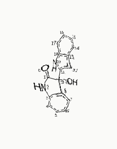 O=C1Nc2ccccc2C1(O)c1cc2ccccc2[nH]1